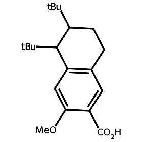 COc1cc2c(cc1C(=O)O)CCC(C(C)(C)C)C2C(C)(C)C